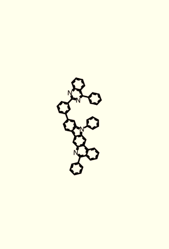 c1ccc(-c2nc(-c3cccc(-c4ccc5c6cc7nc(-c8ccccc8)c8ccccc8c7cc6n(-c6ccccc6)c5c4)c3)nc3ccccc23)cc1